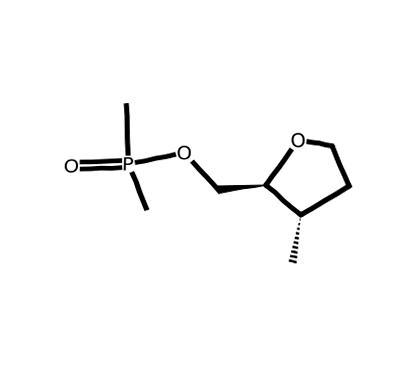 C[C@H]1CCO[C@@H]1COP(C)(C)=O